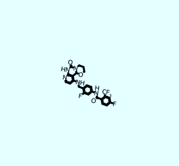 O=C(Nc1ccc(CNc2ccnc3c2C2OCCCN2C(=O)N3)c(F)c1)c1ccc(F)cc1C(F)(F)F